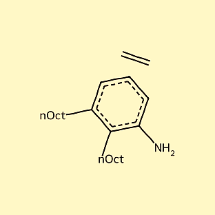 C=C.CCCCCCCCc1cccc(N)c1CCCCCCCC